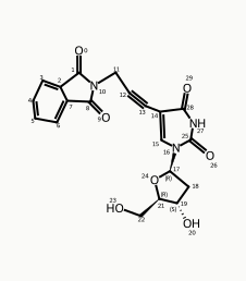 O=C1c2ccccc2C(=O)N1CC#Cc1cn([C@H]2C[C@H](O)[C@@H](CO)O2)c(=O)[nH]c1=O